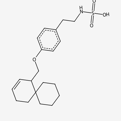 O=S(=O)(O)NCCc1ccc(OCC2C=CCCC23CCCCC3)cc1